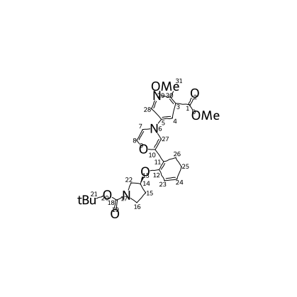 COC(=O)c1cc(N2C=COC(C3=C(O[C@H]4CCN(C(=O)OC(C)(C)C)C4)C=CCC3)=C2)cnc1OC